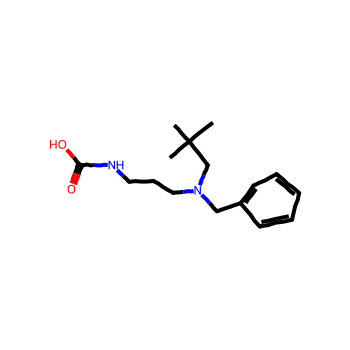 CC(C)(C)CN(CCCNC(=O)O)Cc1ccccc1